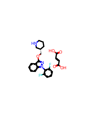 Fc1cccc(F)c1-n1nc(OC[C@H]2CCCNC2)c2ccccc21.O=C(O)C=CC(=O)O